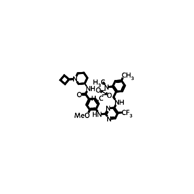 COc1cc(C(=O)N[C@@H]2CCCN(C3CCC3)C2)ccc1Nc1ncc(C(F)(F)F)c(NCc2ccc(C)cc2N(C)S(C)(=O)=O)n1